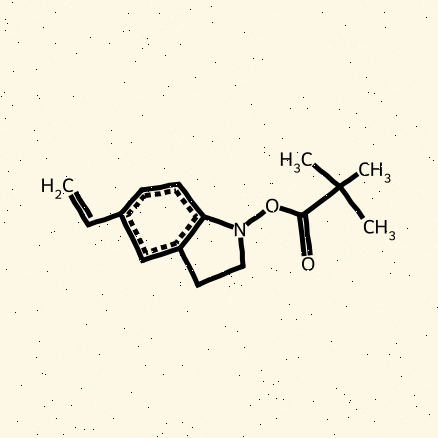 C=Cc1ccc2c(c1)CCN2OC(=O)C(C)(C)C